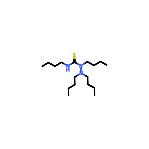 CCCCNC(=S)N(CCCC)N(CCCC)CCCC